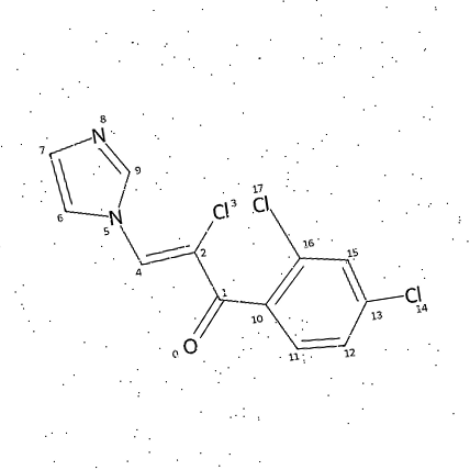 O=C(/C(Cl)=C/n1ccnc1)c1ccc(Cl)cc1Cl